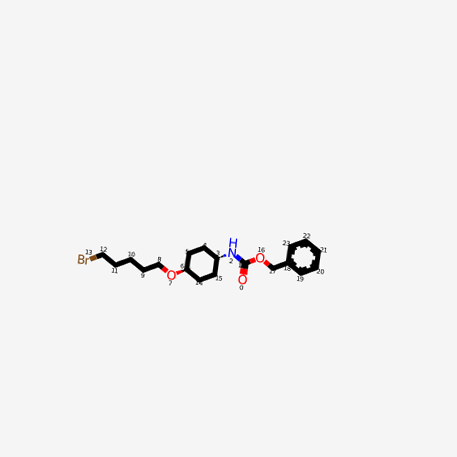 O=C(N[C@H]1CC[C@H](OCCCCCBr)CC1)OCc1ccccc1